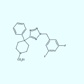 CCOC(=O)N1CCC(c2ccccc2)(c2nnn(Cc3cc(F)cc(F)c3)n2)CC1